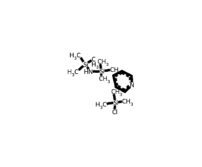 C[Si](C)(C)Cl.C[Si](C)(C)N[Si](C)(C)C.c1ccncc1